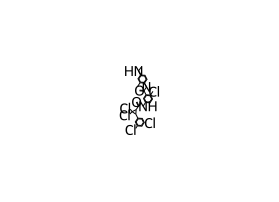 CNc1ccc(N(C)C(=O)c2cc(NC(=O)C3C(c4cc(Cl)cc(Cl)c4)C3(Cl)Cl)ccc2Cl)c(C)c1